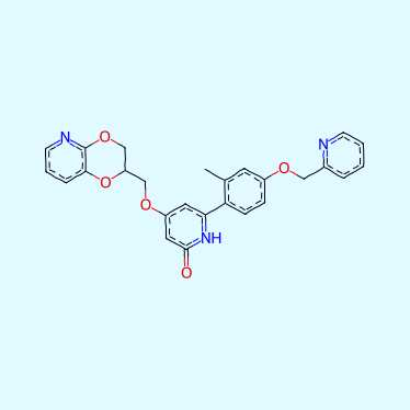 Cc1cc(OCc2ccccn2)ccc1-c1cc(OCC2COc3ncccc3O2)cc(=O)[nH]1